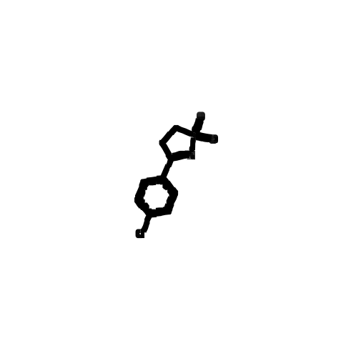 O=S1(=O)CCC(c2ccc(Cl)cc2)=N1